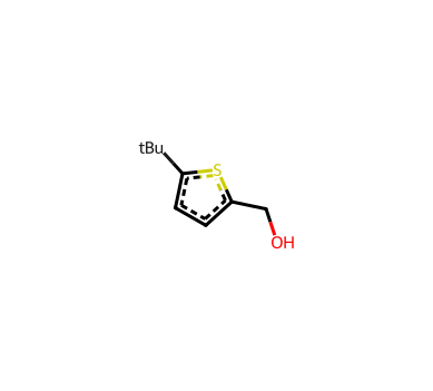 CC(C)(C)c1ccc(CO)s1